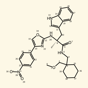 COCC1(CNC(=O)[C@](C)(Cc2c[nH]c3ccccc23)Nc2nc(-c3ccc([N+](=O)[O-])cc3)co2)CCCCC1